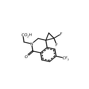 O=C(O)CN1CC2(CC2(F)F)c2cc(C(F)(F)F)ccc2C1=O